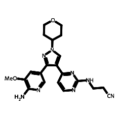 COc1cc(-c2nn(C3CCOCC3)cc2-c2ccnc(NCCC#N)n2)cnc1N